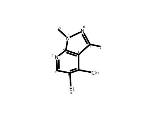 CCc1cnc2c(c(C)nn2C)c1Cl